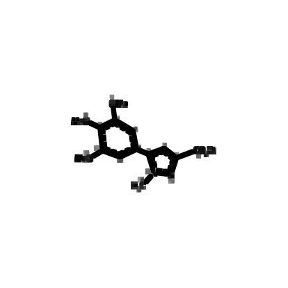 CCOC(=O)c1cc(-c2cc(OC)c(OC)c(OC)c2)n(C)n1